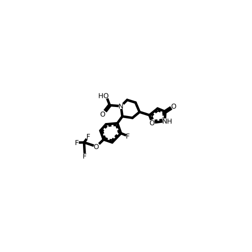 O=C(O)N1CCC(c2cc(=O)[nH]o2)CC1c1ccc(OC(F)(F)F)cc1F